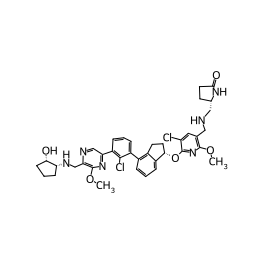 COc1nc(O[C@H]2CCc3c(-c4cccc(-c5cnc(CN[C@@H]6CCC[C@@H]6O)c(OC)n5)c4Cl)cccc32)c(Cl)cc1CNC[C@@H]1CCC(=O)N1